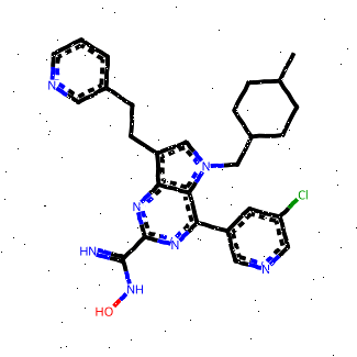 CC1CCC(Cn2cc(CCc3cccnc3)c3nc(C(=N)NO)nc(-c4cncc(Cl)c4)c32)CC1